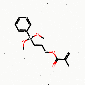 C=C(C)C(=O)OCCC[Si](OC)(OC)c1ccccc1